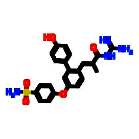 C/C(=C\c1ccc(Oc2ccc(S(N)(=O)=O)cc2)cc1-c1ccc(O)cc1)C(=O)NC(=N)N